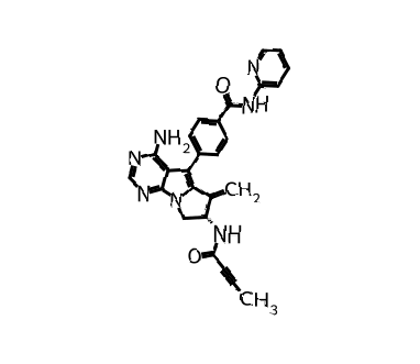 C=C1c2c(-c3ccc(C(=O)Nc4ccccn4)cc3)c3c(N)ncnc3n2C[C@H]1NC(=O)C#CC